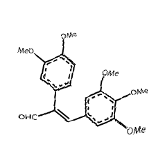 COc1ccc(/C(C=O)=C\c2cc(OC)c(OC)c(OC)c2)cc1OC